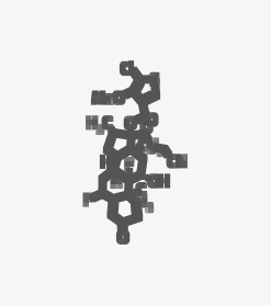 COc1c(C(=O)O[C@]2(C(=O)SCC#N)[C@H](C)C[C@H]3[C@@H]4CC(F)C5=CC(=O)C=C[C@]5(C)[C@@]4(F)[C@@H](O)C[C@@]32C)csc1Cl